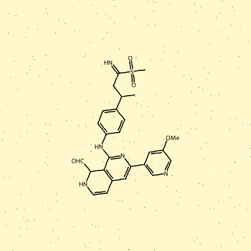 COc1cncc(-c2cc3c(c(Nc4ccc(C(C)CC(=N)S(C)(=O)=O)cc4)n2)C(C=O)NC=C3)c1